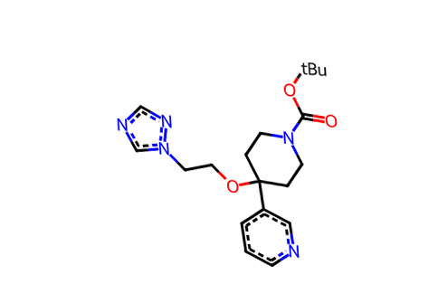 CC(C)(C)OC(=O)N1CCC(OCCn2cncn2)(c2cccnc2)CC1